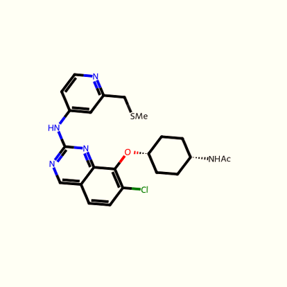 CSCc1cc(Nc2ncc3ccc(Cl)c(O[C@H]4CC[C@@H](NC(C)=O)CC4)c3n2)ccn1